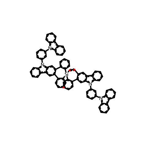 c1cc(-n2c3ccccc3c3ccccc32)cc(-n2c3ccccc3c3cc4c(cc32)-c2ccccc2[Si]2(c3ccccc3-4)c3ccccc3-c3cc4c5ccccc5n(-c5cccc(-n6c7ccccc7c7ccccc76)c5)c4cc3-c3ccccc32)c1